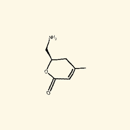 CC1=CC(=O)O[C@@H](CN)C1